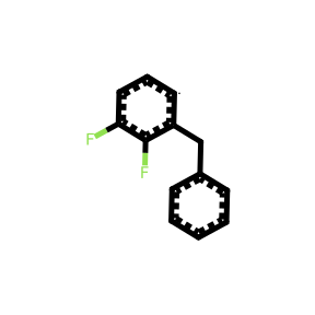 Fc1cc[c]c(Cc2ccccc2)c1F